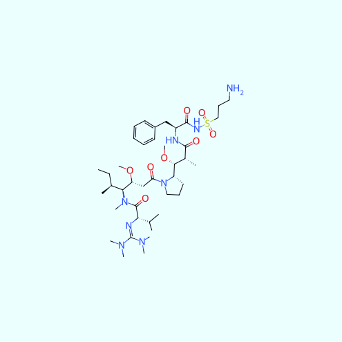 CC[C@H](C)[C@@H]([C@@H](CC(=O)N1CCC[C@H]1[C@H](OC)[C@@H](C)C(=O)N[C@@H](Cc1ccccc1)C(=O)NS(=O)(=O)CCCN)OC)N(C)C(=O)[C@@H](N=C(N(C)C)N(C)C)C(C)C